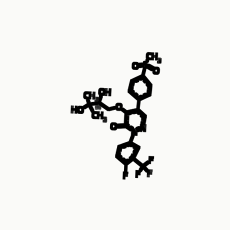 CC(C)(O)[C@@H](O)COc1c(-c2ccc(S(C)(=O)=O)cc2)cnn(-c2ccc(F)c(C(F)(F)F)c2)c1=O